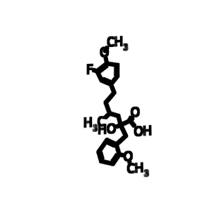 COc1ccc(CCC(C)CC(O)(Cc2ccccc2OC)C(=O)O)cc1F